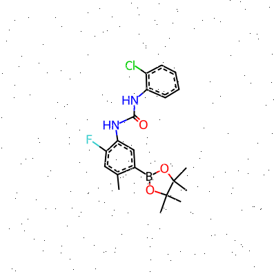 Cc1cc(F)c(NC(=O)Nc2ccccc2Cl)cc1B1OC(C)(C)C(C)(C)O1